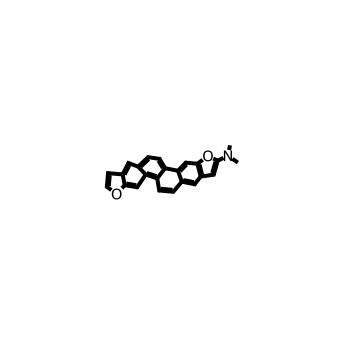 CN(C)c1cc2cc3ccc4c5cc6occc6cc5ccc4c3cc2o1